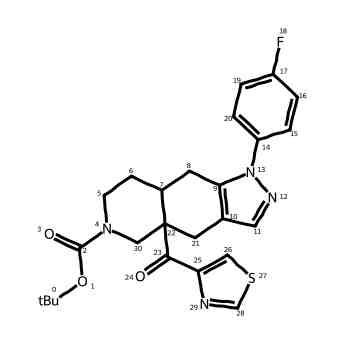 CC(C)(C)OC(=O)N1CCC2Cc3c(cnn3-c3ccc(F)cc3)CC2(C(=O)c2cscn2)C1